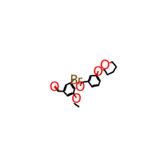 CCOc1cc(C=O)cc(Br)c1OCc1cccc(OC2CCCCO2)c1